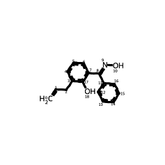 C=CCc1cccc(C(=NO)c2ccccc2)c1O